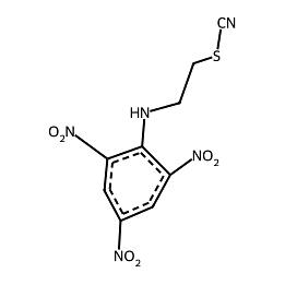 N#CSCCNc1c([N+](=O)[O-])cc([N+](=O)[O-])cc1[N+](=O)[O-]